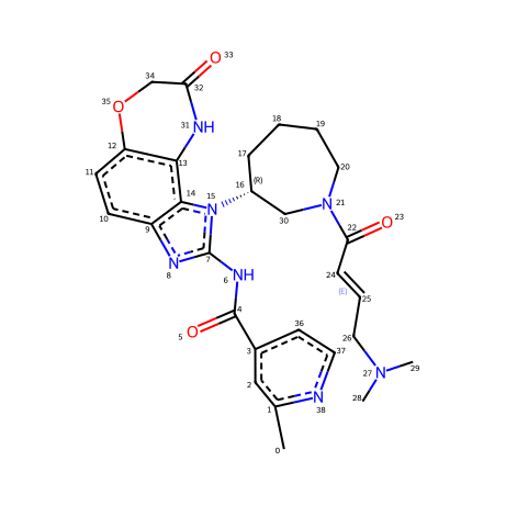 Cc1cc(C(=O)Nc2nc3ccc4c(c3n2[C@@H]2CCCCN(C(=O)/C=C/CN(C)C)C2)NC(=O)CO4)ccn1